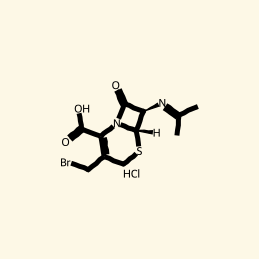 CC(C)=N[C@@H]1C(=O)N2C(C(=O)O)=C(CBr)CS[C@@H]12.Cl